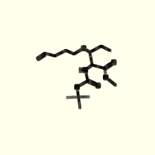 C=CCCCOC(CC)C(NC(=O)OC(C)(C)C)C(=O)OC